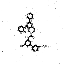 CCc1cc(NC(=O)N2CCc3nc(-c4cccnc4)nc(-c4ccccc4C)c3C2)cc(-c2cncc(C(=O)O)c2)c1